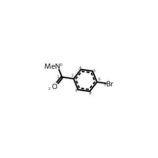 CNC(=O)c1[c]cc(Br)cc1